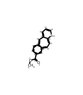 COC(=O)c1ccc2c(c1)=CC=C1SC=CC=C1C=2